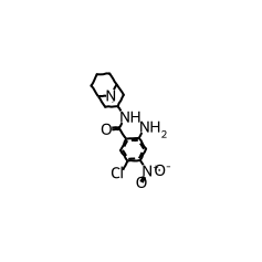 CN1C2CCCC1CC(NC(=O)c1cc(Cl)c([N+](=O)[O-])cc1N)C2